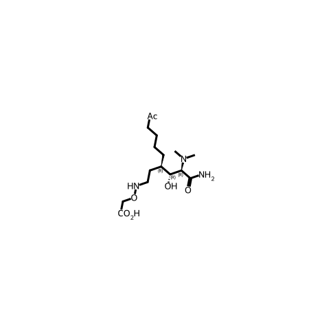 CC(=O)CCCC[C@H](CCNOCC(=O)O)[C@@H](O)[C@H](C(N)=O)N(C)C